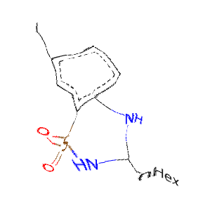 CCCCCCC1Nc2ccc(C)cc2S(=O)(=O)N1